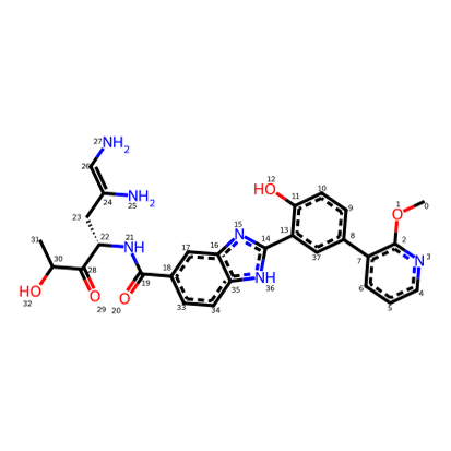 COc1ncccc1-c1ccc(O)c(-c2nc3cc(C(=O)N[C@@H](C/C(N)=C/N)C(=O)C(C)O)ccc3[nH]2)c1